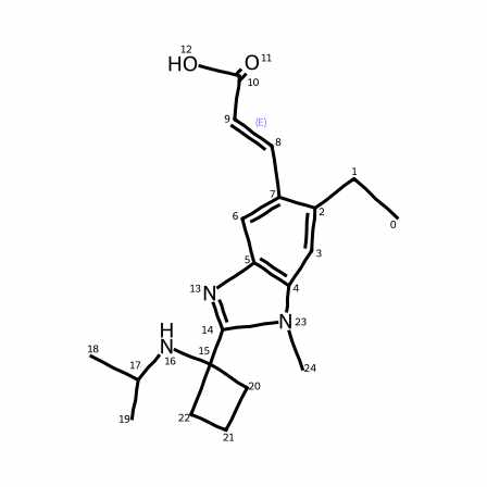 CCc1cc2c(cc1/C=C/C(=O)O)nc(C1(NC(C)C)CCC1)n2C